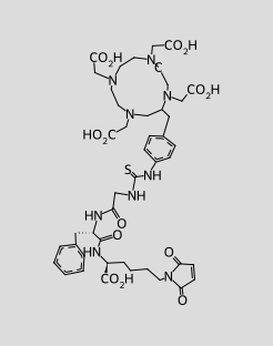 O=C(O)CN1CCN(CC(=O)O)CCN(CC(=O)O)C(Cc2ccc(NC(=S)NCC(=O)N[C@@H](Cc3ccccc3)C(=O)N[C@@H](CCCCN3C(=O)C=CC3=O)C(=O)O)cc2)CN(CC(=O)O)CC1